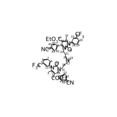 CCOC(=O)C1=C(C)N(c2cccc(C(F)(F)F)c2)C(=O)N(CCCN(C)CCCN2C(=O)N(c3cccc(C(F)(F)F)c3)C(C)=C(C(=O)OCC)[C@H]2c2ccc(C#N)cc2)[C@@H]1c1ccc(C#N)cc1